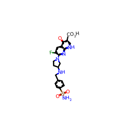 NS(=O)(=O)c1ccc(CNC2CCN(c3nc4[nH]cc(C(=O)O)c(=O)c4cc3F)C2)cc1